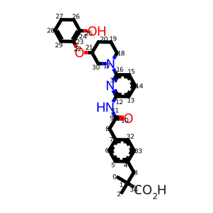 CC(C)(Cc1ccc(CC(=O)Nc2cccc(N3CCCC(OC4=C(O)CCC=C4)C3)n2)cc1)C(=O)O